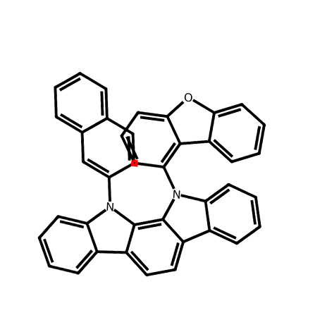 c1ccc2cc(-n3c4ccccc4c4ccc5c6ccccc6n(-c6cccc7oc8ccccc8c67)c5c43)ccc2c1